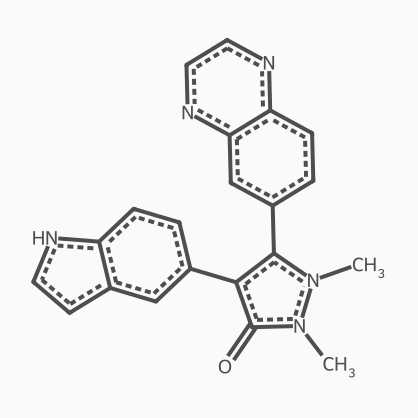 Cn1c(-c2ccc3nccnc3c2)c(-c2ccc3[nH]ccc3c2)c(=O)n1C